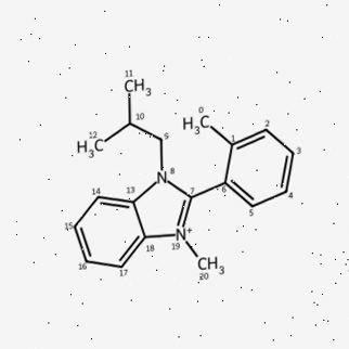 Cc1ccccc1-c1n(CC(C)C)c2ccccc2[n+]1C